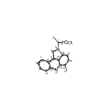 CCCCCCCCC(C)N1Cc2c3ccccc3nc3c(C)ccc1c23